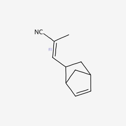 C/C(C#N)=C\C1CC2C=CC1C2